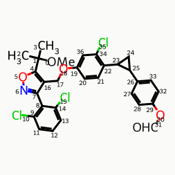 COC(C)(C)c1onc(-c2c(Cl)cccc2Cl)c1COc1ccc(C2CC2c2ccc(OC=O)cc2)c(Cl)c1